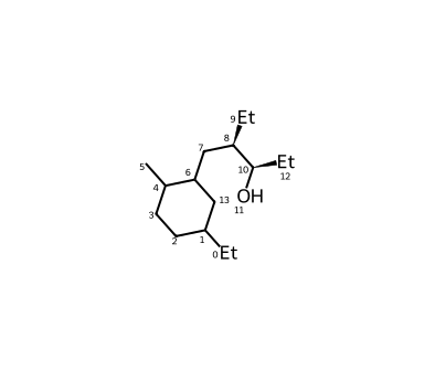 CCC1CCC(C)C(C[C@@H](CC)[C@H](O)CC)C1